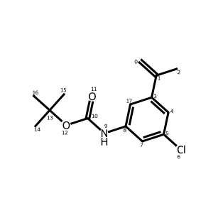 C=C(C)c1cc(Cl)cc(NC(=O)OC(C)(C)C)c1